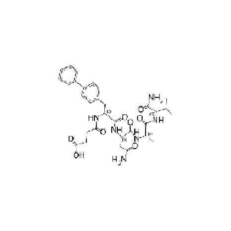 CC(C)[C@H](NC(=O)[C@H](C)NC(=O)[C@H](CC(N)=O)NC(=O)[C@H](Cc1ccc(-c2ccccc2)cc1)NC(=O)CCC(=O)O)C(N)=O